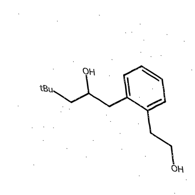 CC(C)(C)CC(O)Cc1ccccc1CCO